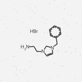 Br.NCCN1C=CN(Cc2ccccc2)C1